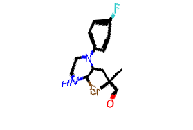 CC(C)(C=O)CC1C(Br)NCCN1c1ccc(F)cc1